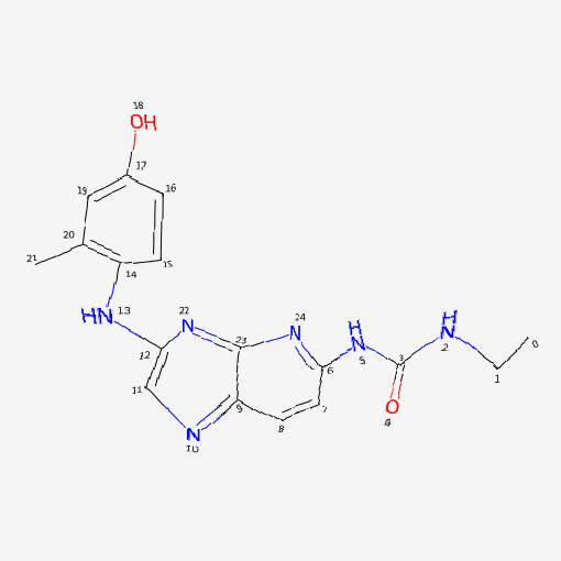 CCNC(=O)Nc1ccc2ncc(Nc3ccc(O)cc3C)nc2n1